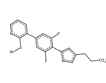 CC(C)Sc1ncccc1-c1cc(F)c(-n2cc(CCC(=O)O)cn2)c(F)c1